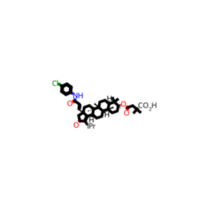 CC(C)C1=C2[C@H]3CC[C@@H]4[C@@]5(C)CC[C@H](OC(=O)CC(C)(C)C(=O)O)C(C)(C)[C@@H]5CC[C@@]4(C)[C@]3(C)CC[C@@]2(C=CC(=O)Nc2ccc(Cl)cc2)CC1=O